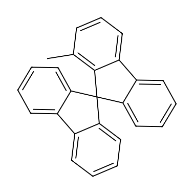 Cc1cccc2c1C1(c3ccccc3-c3ccccc31)c1ccccc1-2